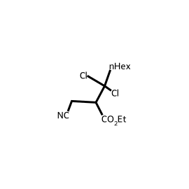 CCCCCCC(Cl)(Cl)C(CC#N)C(=O)OCC